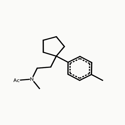 CC(=O)N(C)CCC1(c2ccc(C)cc2)CCCC1